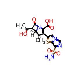 C[C@@H](O)[C@H]1C(=O)N2C(C(=O)O)=C(c3cn4cnc(S(N)(=O)=O)c4s3)[C@H](C)[C@H]12